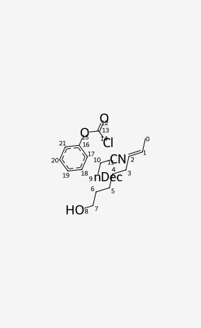 CC=CCCCCCO.CCCCCCCCCCCC#N.O=C(Cl)Oc1ccccc1